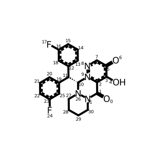 O=C1c2c(O)c(=O)cnn2[C@@H](C(c2cccc(F)c2)c2cccc(F)c2)N2CCCCN12